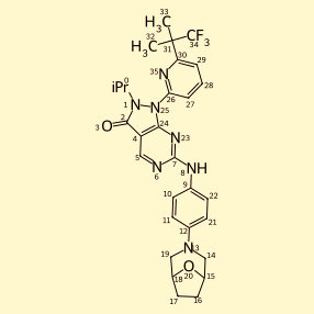 CC(C)n1c(=O)c2cnc(Nc3ccc(N4CC5CCC(C4)O5)cc3)nc2n1-c1cccc(C(C)(C)C(F)(F)F)n1